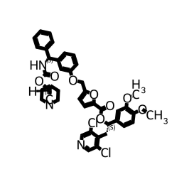 COc1ccc([C@H](Cc2c(Cl)cncc2Cl)OC(=O)c2ccc(COc3cccc([C@@H](NC(=O)O[C@H]4CN5CCC4CC5)c4ccccc4)c3)o2)cc1OC